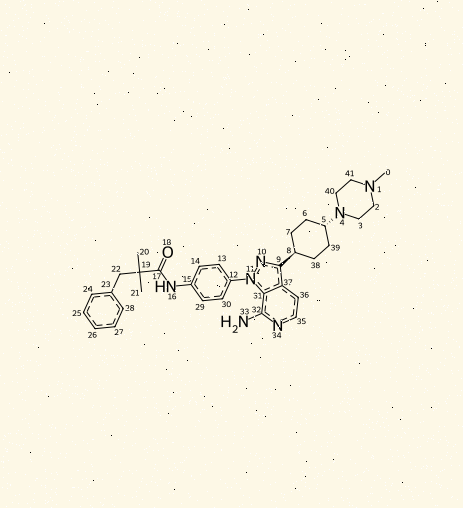 CN1CCN([C@H]2CC[C@H](c3nn(-c4ccc(NC(=O)C(C)(C)Cc5ccccc5)cc4)c4c(N)nccc43)CC2)CC1